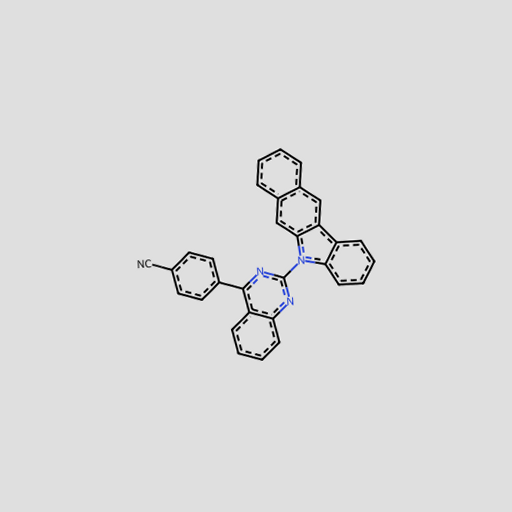 N#Cc1ccc(-c2nc(-n3c4ccccc4c4cc5ccccc5cc43)nc3ccccc23)cc1